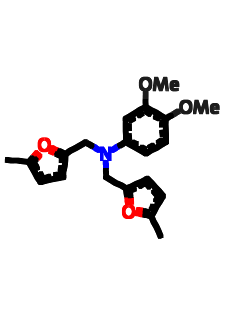 COc1ccc(N(Cc2ccc(C)o2)Cc2ccc(C)o2)cc1OC